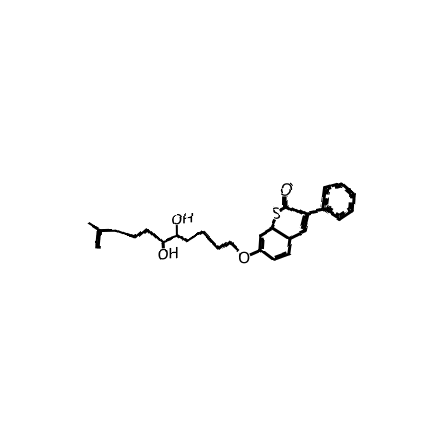 C=C(C)CCCC(O)C(O)CCCCOC1=CC2SC(=O)C(c3ccccc3)=CC2C=C1